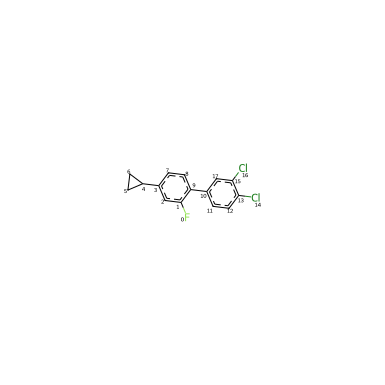 Fc1cc(C2CC2)ccc1-c1ccc(Cl)c(Cl)c1